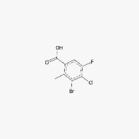 Cc1c(C(=O)O)cc(F)c(Cl)c1Br